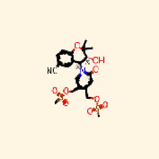 CC1(C)Oc2ccc(C#N)cc2[C@H](n2cc(COS(C)(=O)=O)c(COS(C)(=O)=O)cc2=O)[C@H]1O